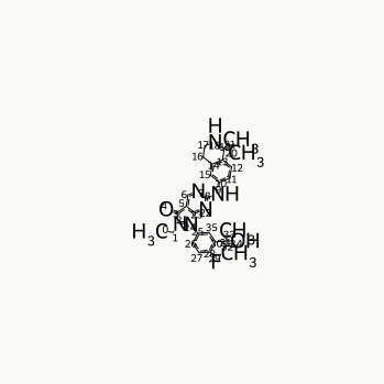 CCn1c(=O)c2cnc(Nc3ccc4c(c3)CCNC4(C)C)nc2n1-c1ccc(F)c(C(C)(C)O)c1